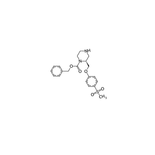 CS(=O)(=O)c1ccc(OC[C@@H]2CNCCN2C(=O)OCc2ccccc2)cc1